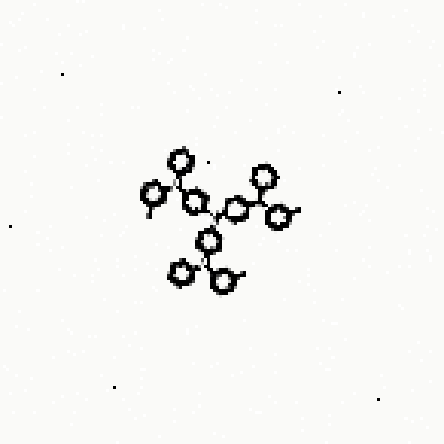 Cc1cccc(C(C2=CCC(N(c3ccc(N(c4ccccc4)c4cccc(C)c4)cc3)c3ccc(N(c4ccccc4)c4cccc(C)c4)cc3)C=C2)c2ccccc2)c1